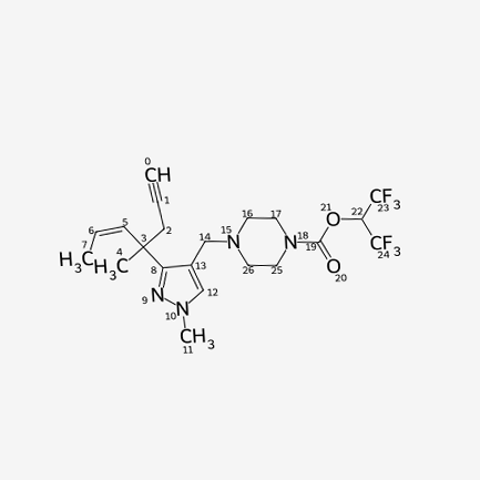 C#CCC(C)(/C=C\C)c1nn(C)cc1CN1CCN(C(=O)OC(C(F)(F)F)C(F)(F)F)CC1